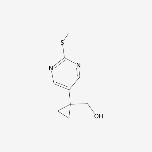 CSc1ncc(C2(CO)CC2)cn1